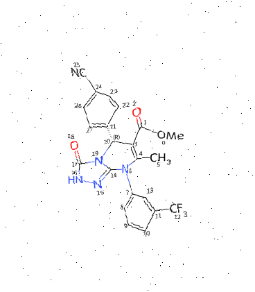 COC(=O)C1=C(C)N(c2cccc(C(F)(F)F)c2)c2n[nH]c(=O)n2[C@@H]1c1ccc(C#N)cc1